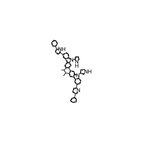 CC1c2cc3c4cc(-c5ccc(-c6ccccc6)cn5)ccc4n(-c4cc[nH]c4)c3cc2-c2cc3c(cc2C1C)c1cc(-c2ccc(-c4ccccc4)[nH]2)ccc1n3-c1ccc[nH]1